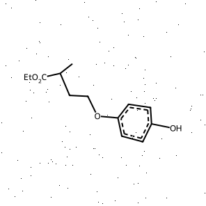 CCOC(=O)C(C)CCOc1ccc(O)cc1